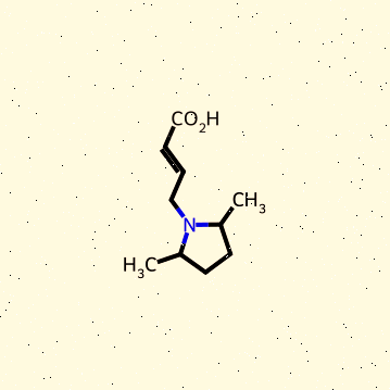 CC1CCC(C)N1C/C=C/C(=O)O